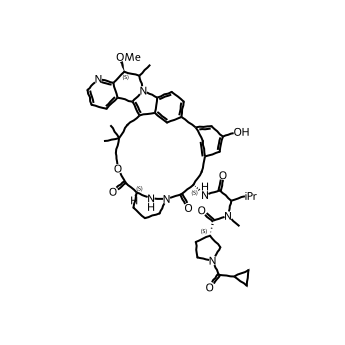 CO[C@@H]1c2ncccc2-c2c3c4cc(ccc4n2C1C)-c1cc(O)cc(c1)C[C@H](NC(=O)C(C(C)C)N(C)C(=O)[C@H]1CCN(C(=O)C2CC2)C1)C(=O)N1CCC[C@H](N1)C(=O)OCC(C)(C)C3